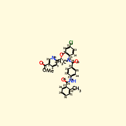 COC(=O)c1ccc(COc2cc(Cl)ccc2N(C)C(=O)c2ccc(NC(=O)c3ccccc3C)cc2)nc1